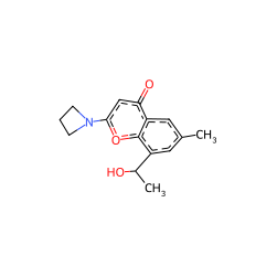 Cc1cc(C(C)O)c2oc(N3CCC3)cc(=O)c2c1